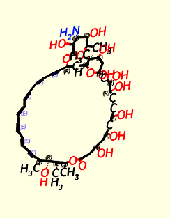 CC1O[C@@H](O[C@H]2/C=C/C=C/C=C/C=C/C=C/C=C/C=C/[C@H](C)[C@@H](O)[C@@H](C)[C@H](C)OC(=O)C[C@H](O)C[C@H](O)C[C@H](O)CC[C@@H](O)[C@H](O)C[C@]3(O)C[C@H](O)[C@@H](C)[C@H](C2)O3)C(O)[C@H](N)[C@@H]1O